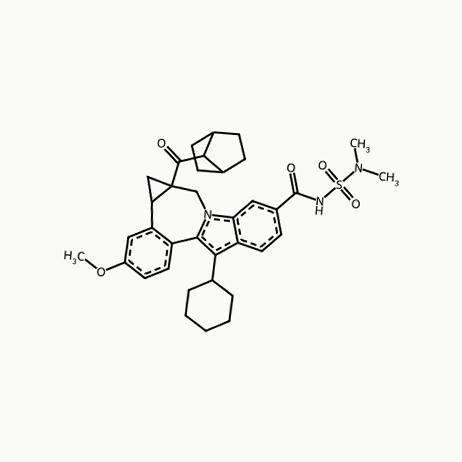 COc1ccc2c(c1)C1CC1(C(=O)C1C3CCC1CC3)Cn1c-2c(C2CCCCC2)c2ccc(C(=O)NS(=O)(=O)N(C)C)cc21